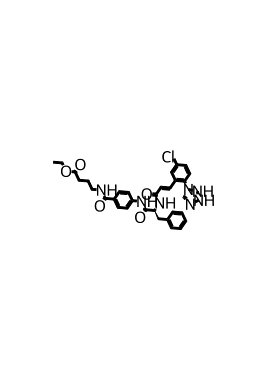 CCOC(=O)CCCNC(=O)c1ccc(NC(=O)[C@H](Cc2ccccc2)NC(=O)/C=C/c2cc(Cl)ccc2N2C=NNN2)cc1